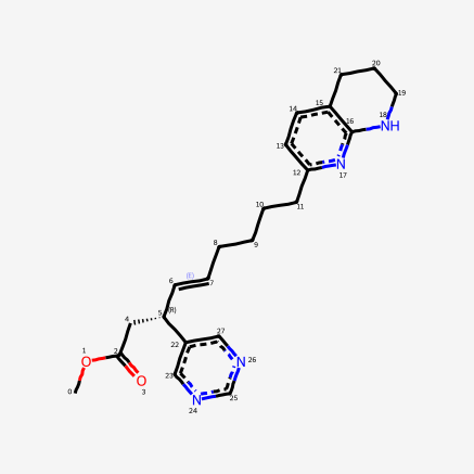 COC(=O)C[C@H](/C=C/CCCCc1ccc2c(n1)NCCC2)c1cncnc1